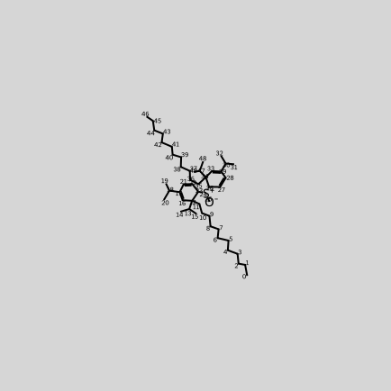 CCCCCCCCCCCCC1(C(C)C)C=C(C(C)C)C=CC1[S+]([O-])C1C=CC(C(C)C)=CC1(CCCCCCCCCCCC)C(C)C